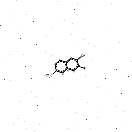 O=C(O)c1ccc2cc(O)c(F)cc2c1